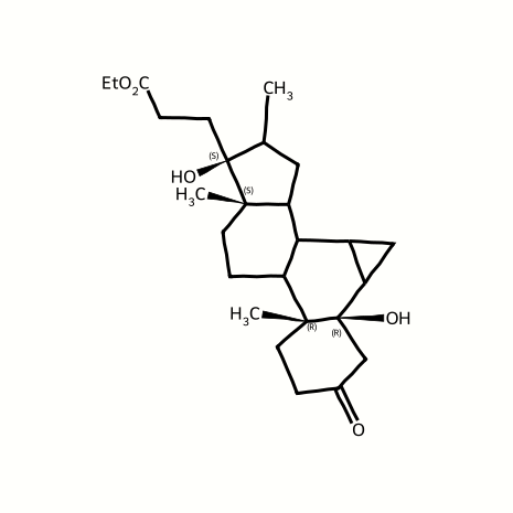 CCOC(=O)CC[C@]1(O)C(C)CC2C3C4CC4[C@]4(O)CC(=O)CC[C@]4(C)C3CC[C@@]21C